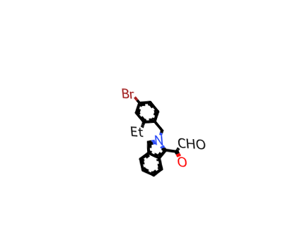 CCc1cc(Br)ccc1Cn1cc2ccccc2c1C(=O)C=O